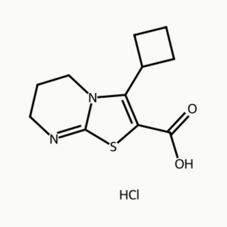 Cl.O=C(O)C1=C(C2CCC2)N2CCCN=C2S1